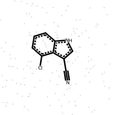 N#Cc1c[nH]c2cccc(Cl)c12